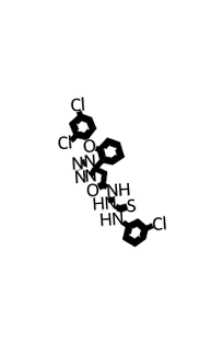 O=C(CC1(c2ccccc2Oc2ccc(Cl)cc2Cl)N=NN=N1)NNC(=S)Nc1cccc(Cl)c1